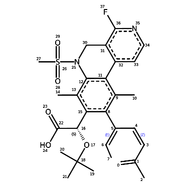 C=C(C)/C=C\C(=C/C)c1c(C)c2c(c(C)c1[C@H](OC(C)(C)C)C(=O)O)N(S(C)(=O)=O)Cc1c-2ccnc1F